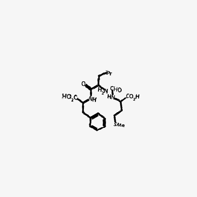 CC(C)CC(N)C(=O)NC(Cc1ccccc1)C(=O)O.CSCCC(NC=O)C(=O)O